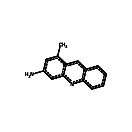 Cc1cc(N)cc2nc3ccccc3cc12